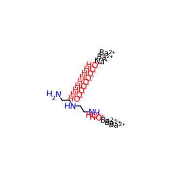 NCCNCCN.[Ba+2].[Ba+2].[Ba+2].[Ba+2].[Ba+2].[Na+].[OH-].[OH-].[OH-].[OH-].[OH-].[OH-].[OH-].[OH-].[OH-].[OH-].[OH-]